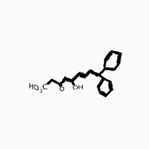 O=C(O)CC(=O)CC(O)/C=C/C=C(c1ccccc1)c1ccccc1